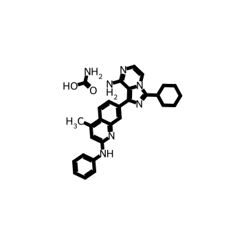 Cc1cc(Nc2ccccc2)nc2cc(-c3nc(C4CCCCC4)n4ccnc(N)c34)ccc12.NC(=O)O